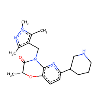 Cc1nn(C)c(C)c1CN1C(=O)[C@@H](C)Oc2ccc(C3CCCNC3)nc21